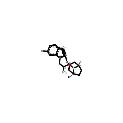 C=CCO[C@H]1C[C@H]2CC[C@@H](C1)N2C[C@@H](C)Cn1ncc2ccc(F)cc21